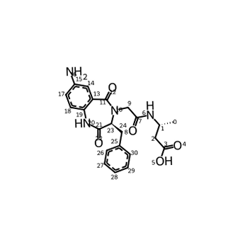 C[C@H](CC(=O)O)NC(=O)CN1C(=O)c2cc(N)ccc2NC(=O)[C@@H]1Cc1ccccc1